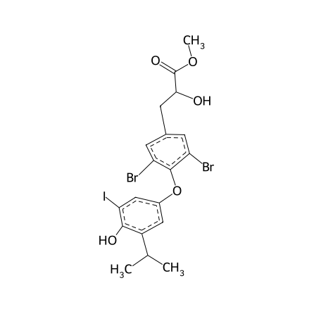 COC(=O)C(O)Cc1cc(Br)c(Oc2cc(I)c(O)c(C(C)C)c2)c(Br)c1